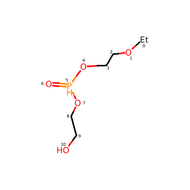 CCOCCO[PH](=O)OCCO